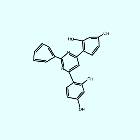 Oc1ccc(-c2cc(-c3ccc(O)cc3O)nc(-c3ccccc3)n2)c(O)c1